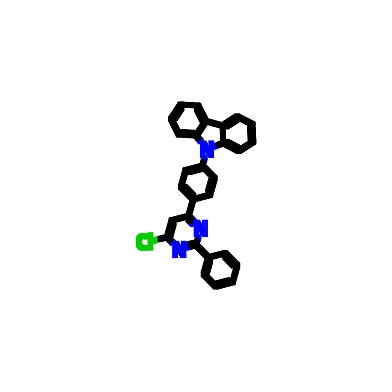 Clc1cc(-c2ccc(-n3c4ccccc4c4ccccc43)cc2)nc(-c2ccccc2)n1